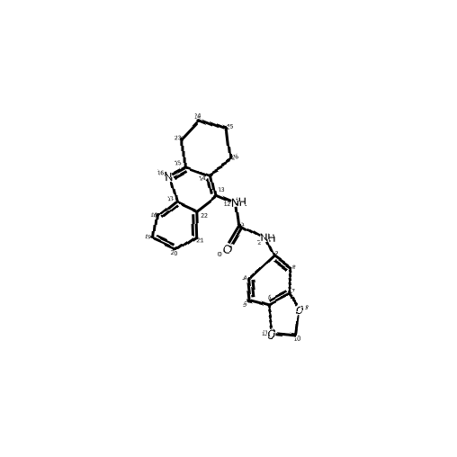 O=C(Nc1ccc2c(c1)OCO2)Nc1c2c(nc3ccccc13)CCCC2